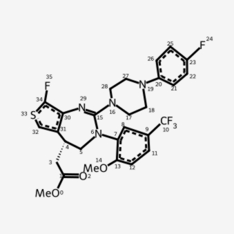 COC(=O)C[C@H]1CN(c2cc(C(F)(F)F)ccc2OC)C(N2CCN(c3ccc(F)cc3)CC2)=Nc2c1csc2F